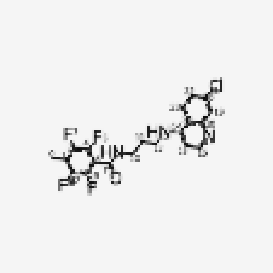 Cc1c(F)c(F)c(C(=O)NCCCNc2ccnc3cc(Cl)ccc23)c(F)c1F